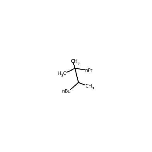 [CH2]CCC(C)(C)C(C)CCCC